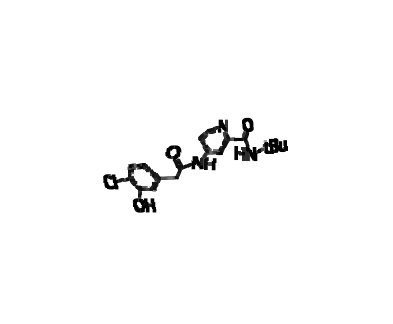 CC(C)(C)NC(=O)c1cc(NC(=O)Cc2ccc(Cl)c(O)c2)ccn1